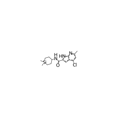 Cc1cc(Cl)c2cc(C(=O)NC3CC[Si](C)(C)CC3)[nH]c2n1